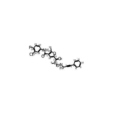 CB(ONCC#Cc1ccccc1)C(=O)c1cc(C(=O)Nc2ccc(F)c(Cl)c2)c(C)o1